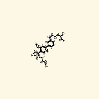 C=Nc1cc(-c2cccc(/C=C\CCC(C)CC)c2)ncc1C(NC)N(C)CCOC